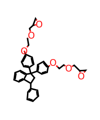 c1ccc(C2CC(c3ccc(OCCOCC4CO4)cc3)(c3ccc(OCCOCC4CO4)cc3)c3ccccc32)cc1